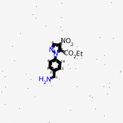 CCOC(=O)c1c([N+](=O)[O-])cnn1-c1ccc(CN)cc1